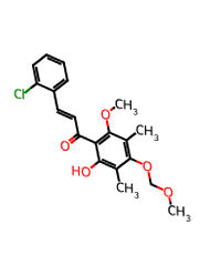 COCOc1c(C)c(O)c(C(=O)C=Cc2ccccc2Cl)c(OC)c1C